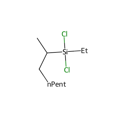 CCCCCCC(C)[Si](Cl)(Cl)CC